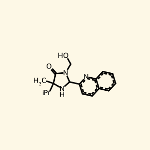 CC(C)C1(C)NC(c2ccc3ccccc3n2)N(CO)C1=O